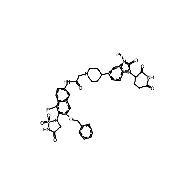 CC(C)n1c(=O)n(C2CCC(=O)NC2=O)c2ccc(C3CCN(CC(=O)Nc4ccc5c(F)c(N6CC(=O)NS6(=O)=O)c(OCc6ccccc6)cc5c4)CC3)cc21